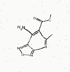 COC(=O)c1c(C)nc2nonc2c1N